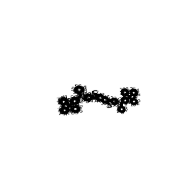 c1ccc(N(c2ccc(C3(c4ccccc4)c4ccccc4-c4ccccc43)cc2)c2ccc3c(c2)sc2cc4cc5c(cc4cc23)sc2cc(N(c3ccccc3)c3ccc(C4(c6ccccc6)c6ccccc6-c6ccccc64)cc3)ccc25)cc1